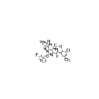 C[C@@H]1C[C@H]1c1c(Cl)cc(O)cc1-c1ncc2c(N3C[C@H]4C[C@@H]3CN4)nc(OC[C@@]34CCCN3C[C@H](F)C4)nc2c1F